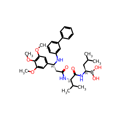 COc1cc([C@@H](CC(=O)N[C@H](C(=O)N[C@@H](CC(C)C)B(O)O)C(C)C)Nc2cccc(-c3ccccc3)c2)cc(OC)c1OC